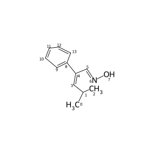 CC(C)C=C(C=NO)c1ccccc1